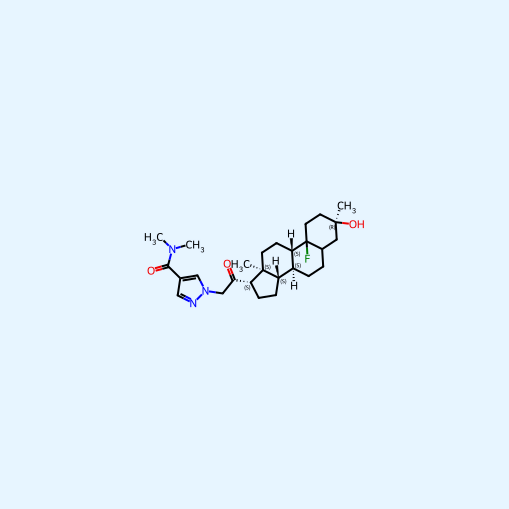 CN(C)C(=O)c1cnn(CC(=O)[C@H]2CC[C@H]3[C@@H]4CCC5C[C@](C)(O)CCC5(F)[C@H]4CC[C@]23C)c1